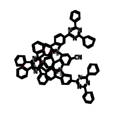 N#Cc1cc(-n2c3cc(-c4nc(-c5ccccc5)nc(-c5ccccc5)n4)ccc3c3ccc(-c4nc(-c5ccccc5)nc(-c5ccccc5)n4)cc32)c(-c2c(C(F)(F)F)cccc2C(F)(F)F)c(-n2c3cc(-c4nc(-c5ccccc5)nc(-c5ccccc5)n4)ccc3c3ccc(-c4nc(-c5ccccc5)nc(-c5ccccc5)n4)cc32)c1